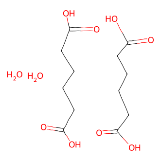 O.O.O=C(O)CCCCC(=O)O.O=C(O)CCCCC(=O)O